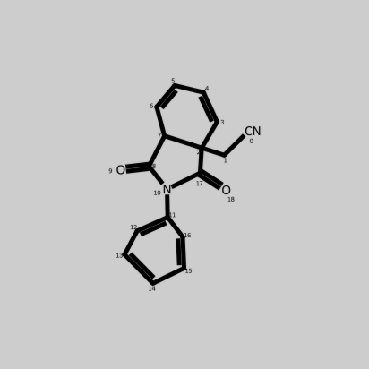 N#CCC12C=CC=CC1C(=O)N(c1ccccc1)C2=O